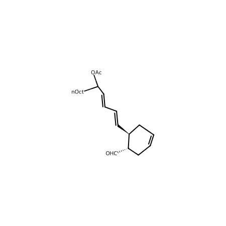 CCCCCCCCC(/C=C/C=C/[C@H]1CC=CC[C@@H]1C=O)OC(C)=O